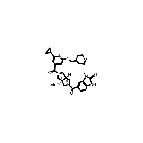 CO[C@]12CN(C(=O)c3cc(OCC4CCOCC4)nc(C4CC4)c3)C[C@@H]1CN(C(=O)c1ccc3[nH]c(=O)n(C)c3c1)C2